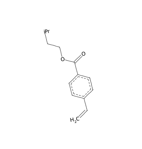 C=Cc1ccc(C(=O)OCCC(C)C)cc1